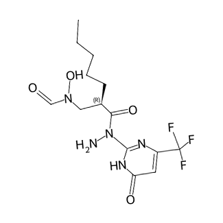 CCCCC[C@H](CN(O)C=O)C(=O)N(N)c1nc(C(F)(F)F)cc(=O)[nH]1